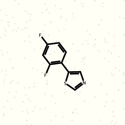 Fc1ccc(-c2cn[c]s2)c(F)c1